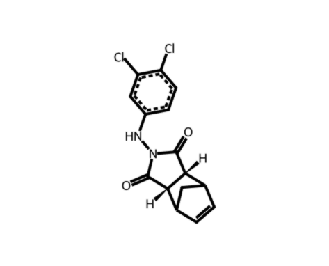 O=C1[C@@H]2C3C=CC(C3)[C@@H]2C(=O)N1Nc1ccc(Cl)c(Cl)c1